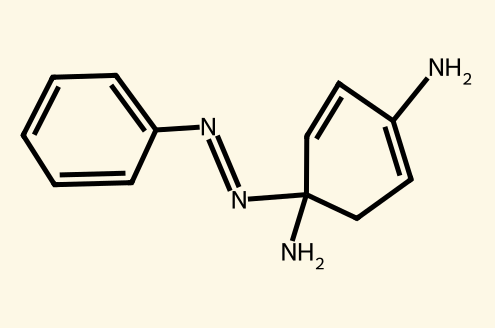 NC1=CCC(N)(N=Nc2ccccc2)C=C1